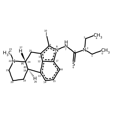 CCN(CC)C(=S)Nn1c(I)c2c3c(cccc31)[C@H]1CCCN(C)[C@@H]1C2